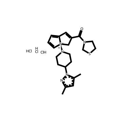 Cc1cc(C)n(C2CCN([N@@+]34C=CC=C3C=C(C(=O)N3CCSC3)C4)CC2)n1.Cl.Cl.Cl